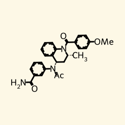 COc1ccc(C(=O)N2c3ccccc3[C@@H](N(C(C)=O)c3cccc(C(N)=O)c3)C[C@H]2C)cc1